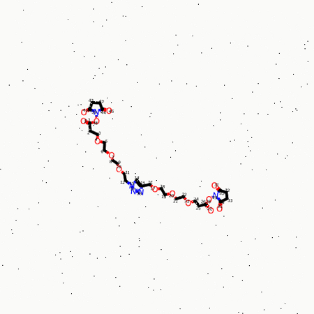 O=C(CCOCCOCCOCCn1cc(COCCOCCOCCC(=O)ON2C(=O)CCC2=O)nn1)ON1C(=O)CCC1=O